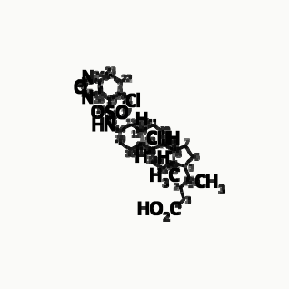 C[C@H](CCC(=O)O)C1CC[C@H]2[C@@H]3CC[C@@H]4CC(NS(=O)(=O)c5c(Cl)ccc6nonc56)CC[C@]4(C)[C@H]3CC[C@]12C